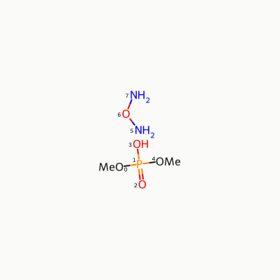 COP(=O)(O)OC.NON